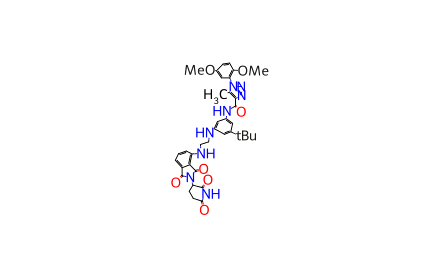 COc1ccc(OC)c(-n2nnc(C(=O)Nc3cc(NCCNc4cccc5c4C(=O)N(C4CCC(=O)NC4=O)C5=O)cc(C(C)(C)C)c3)c2C)c1